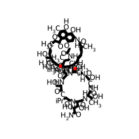 C/C1=C/C=C/[C@H](C)C(O)C(C)[C@@H](O)[C@@H](C)[C@H](C)[C@H](C)[C@@H](CO)/C=C/O[C@@]2(C)Oc3c(C)c(O)c4c(O)c(cc(OCC(=O)NC(C)C(C)C(=O)NCC5NC(=O)CNC(=O)C(O)CNC(=O)C(C(C)O)NC(=O)C(C(O)C(O)C(N)=O)NC(=O)C(C(C)C)CC(=O)C(CO)NC5=O)c4c3C2=O)NC1=O